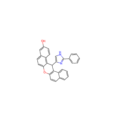 Oc1ccc2c3c(ccc2c1)Oc1ccc2ccccc2c1C3c1c[nH]c(-c2ccccc2)n1